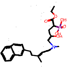 CCOC(=O)C(CC(O)CN(C)CC=C(C)CCc1ccc2ccccc2c1)P(=O)(O)O